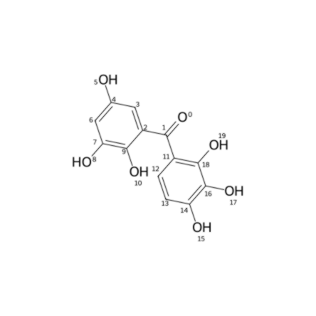 O=C(c1cc(O)cc(O)c1O)c1ccc(O)c(O)c1O